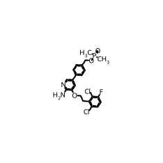 CP(C)(=O)OCc1ccc(-c2cnc(N)c(OCCc3c(Cl)ccc(F)c3Cl)c2)cc1